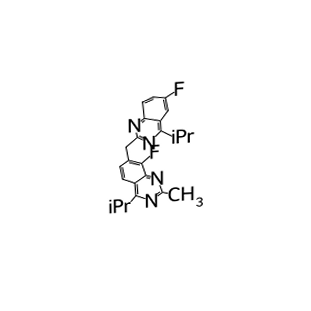 Cc1nc(C(C)C)c2ccc(Cc3nc(C(C)C)c4cc(F)ccc4n3)c(F)c2n1